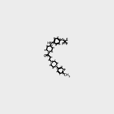 Cc1ccc(N2CCN(CCC(=O)N3CCC(Nc4ccc(SC(F)(F)F)cc4)CC3)CC2)cn1